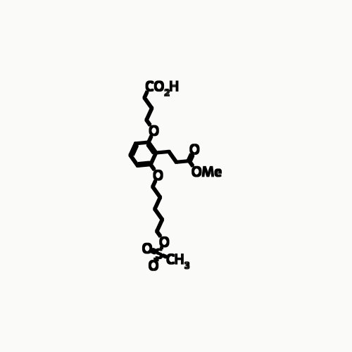 COC(=O)CCc1c(OCCCCCOS(C)(=O)=O)cccc1OCCCC(=O)O